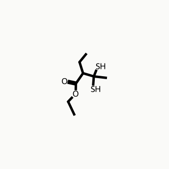 CCOC(=O)C(CC)C(C)(S)S